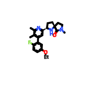 CCOc1ccc(F)c(-c2cc([C@@H]3CC[C@]4(CCN(C)C4=O)N3)nc(C)c2C)c1